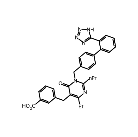 CCCc1nc(CC)c(Cc2cccc(C(=O)O)c2)c(=O)n1Cc1ccc(-c2ccccc2-c2nnn[nH]2)cc1